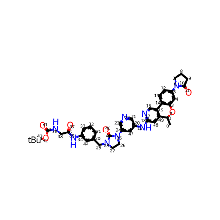 CC1Oc2cc(N3CCCC3=O)ccc2-c2cnc(Nc3cncc(N4CCN(Cc5cccc(NC(=O)CNC(=O)OC(C)(C)C)c5)C4=O)c3)cc21